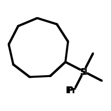 CC(C)[Si](C)(C)C1CCCCCCCC1